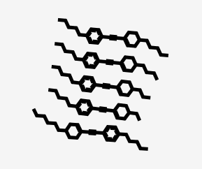 CCCCCCC1CC=C(C#Cc2ccc(CCCCC)cc2)CC1.CCCCCc1ccc(C#CC2=CCC(CC)CC2)cc1.CCCCCc1ccc(C#CC2=CCC(CCC)CC2)cc1.CCCCCc1ccc(C#CC2=CCC(CCCC)CC2)cc1.CCCCCc1ccc(C#CC2=CCC(CCCCC)CC2)cc1